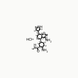 CNC(=O)c1cc(-c2ncc(-c3cn[nH]c3)c3onc(N)c23)ccc1N.Cl